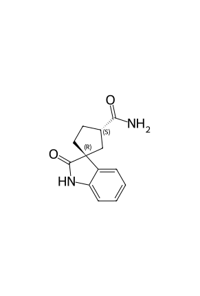 NC(=O)[C@H]1CC[C@]2(C1)C(=O)Nc1ccccc12